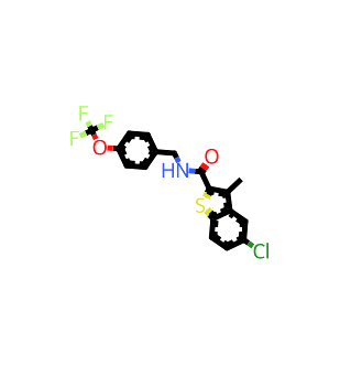 Cc1c(C(=O)NCc2ccc(OC(F)(F)F)cc2)sc2ccc(Cl)cc12